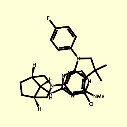 CNc1nc(N[C@H]2[C@@H]3CC[C@H]2CN(c2cc(Cl)ncn2)C3)nc2c1C(C)(C)CN2c1ccc(F)cc1